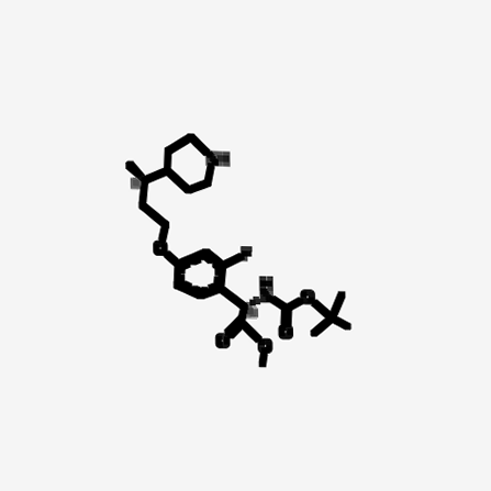 COC(=O)[C@@H](NC(=O)OC(C)(C)C)c1ccc(OCC[C@@H](C)C2CCNCC2)cc1F